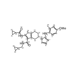 COc1cnc(Nc2nncn2[C@H]2CCc3sc(NC(=O)C4CC4)c(C(=O)NCC4CC4)c3C2)c(C)n1